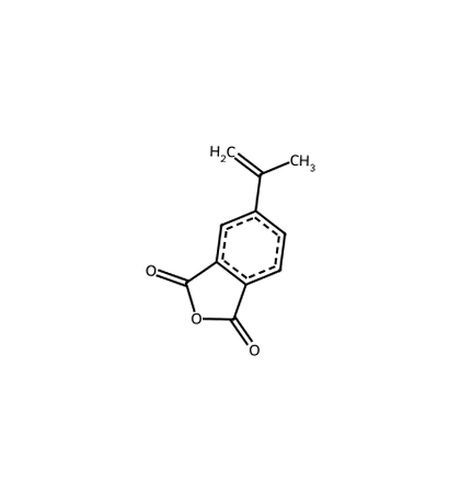 C=C(C)c1ccc2c(c1)C(=O)OC2=O